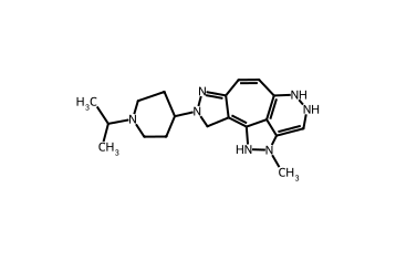 CC(C)N1CCC(N2CC3=C4NN(C)C5=CNNC(=C54)C=CC3=N2)CC1